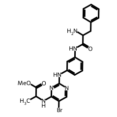 COC(=O)C(C)Nc1nc(Nc2cccc(NC(=O)C(N)Cc3ccccc3)c2)ncc1Br